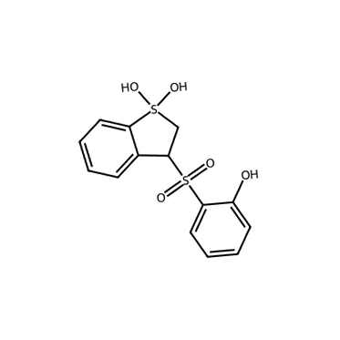 O=S(=O)(c1ccccc1O)C1CS(O)(O)c2ccccc21